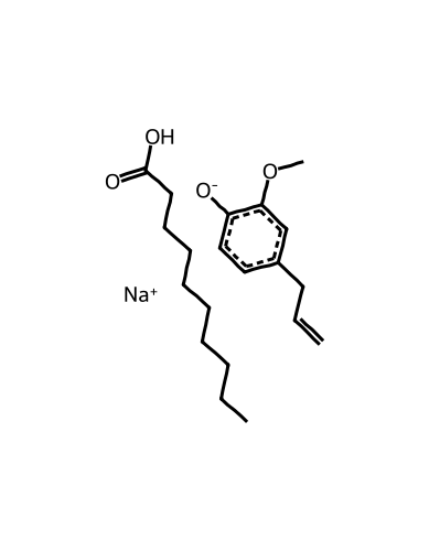 C=CCc1ccc([O-])c(OC)c1.CCCCCCCCCC(=O)O.[Na+]